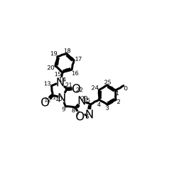 Cc1ccc(-c2noc(CN3C(=O)CN(c4ccccc4)C3=O)n2)cc1